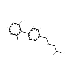 CCCCCCCCC(S)CCCc1ccc(-c2c(S)c[c]cc2S)cc1